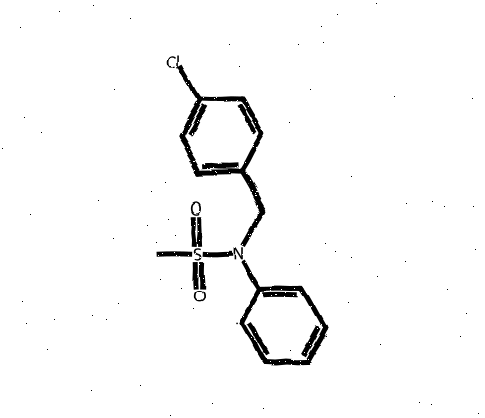 CS(=O)(=O)N(Cc1ccc(Cl)cc1)c1[c]cccc1